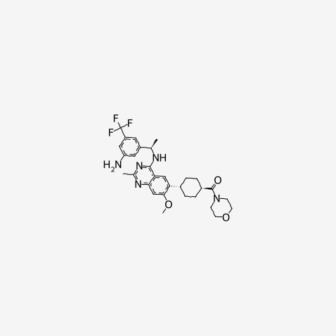 COc1cc2nc(C)nc(N[C@H](C)c3cc(N)cc(C(F)(F)F)c3)c2cc1[C@H]1CC[C@H](C(=O)N2CCOCC2)CC1